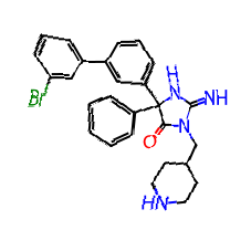 N=C1NC(c2ccccc2)(c2cccc(-c3cccc(Br)c3)c2)C(=O)N1CC1CCNCC1